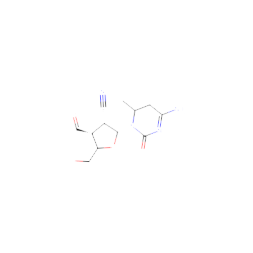 CC1CC(N)=NC(=O)N1[C@@H]1OC(CO)[C@@H](C=O)[C@@H]1C#N